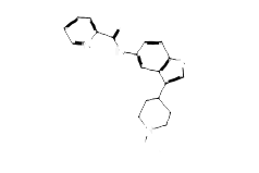 CN1CCC(c2c[nH]c3ccc(NC(=O)c4ccccn4)cc23)CC1